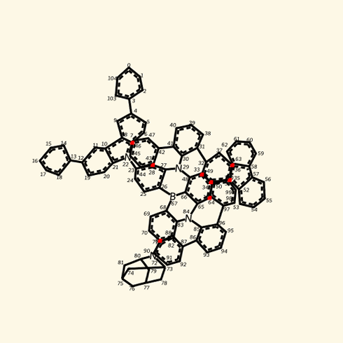 c1ccc(-c2ccc3c(c2)c2cc(-c4ccccc4)ccc2n3-c2ccc3c(c2)N(c2c(-c4ccccc4)cccc2-c2ccccc2)c2cc(-n4c5ccccc5c5ccccc54)cc4c2B3c2ccc(N3C5CC6CC(C5)CC3C6)cc2N4c2c(-c3ccccc3)cccc2-c2ccccc2)cc1